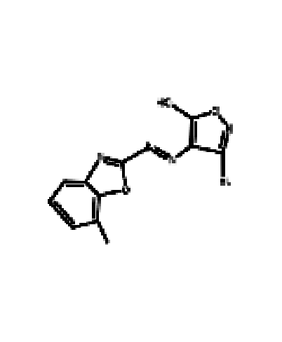 CCc1noc(O)c1N=Nc1nc2cccc(C)c2o1